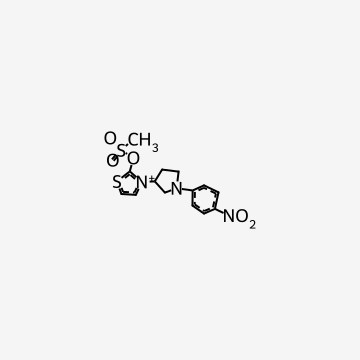 CS(=O)(=O)Oc1scc[n+]1C1CCN(c2ccc([N+](=O)[O-])cc2)C1